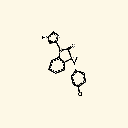 O=C1N(c2c[nH]cn2)c2ccccc2[C@@]12C[C@@H]2c1ccc(Cl)cc1